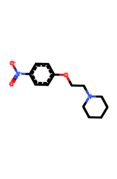 O=[N+]([O-])c1ccc(OCCN2CCCCC2)cc1